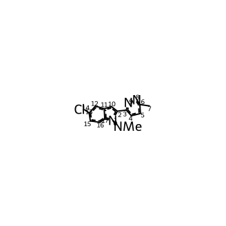 CNn1c(-c2ccc(C)nn2)cc2cc(Cl)ccc21